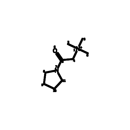 C[N+](C)(C)CC(=O)N1CCCC1